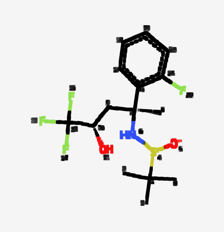 CC(C)(C)[S+]([O-])N[C@@](C)(C[C@H](O)C(F)(F)F)c1ccccc1F